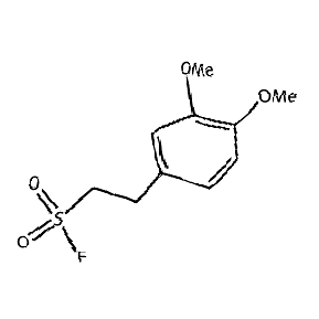 COc1ccc(CCS(=O)(=O)F)cc1OC